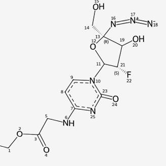 CCOC(=O)CNc1ccn(C2O[C@@](CO)(N=[N+]=[N-])C(O)[C@@H]2F)c(=O)n1